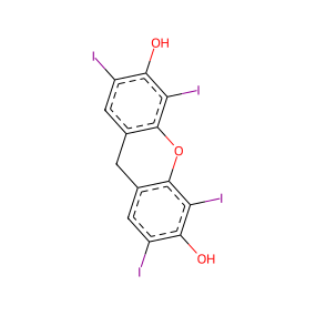 Oc1c(I)cc2c(c1I)Oc1c(cc(I)c(O)c1I)C2